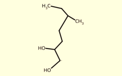 CCC(C)CCC(O)[CH]O